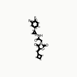 O=C(CN1C(=O)S/C(=C\C2CCC2)C1=O)N[C@@H]1C[C@H]1c1ccc(F)c(F)c1